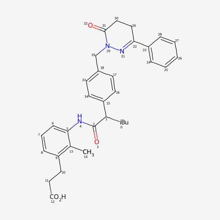 CCC(C)C(C(=O)Nc1cccc(CCC(=O)O)c1C)c1ccc(CN2N=C(c3ccccc3)CCC2=O)cc1